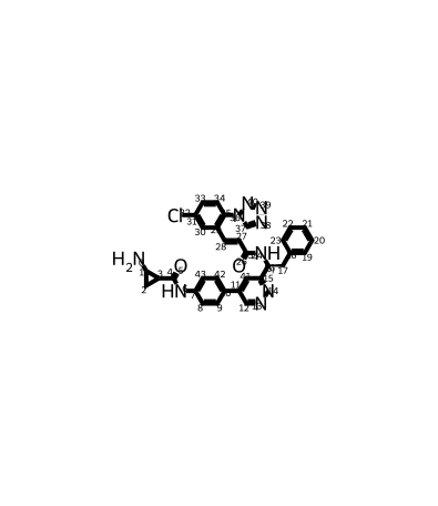 NC1CC1C(=O)Nc1ccc(-c2cnnc([C@H](Cc3ccccc3)NC(=O)C=Cc3cc(Cl)ccc3-n3cnnn3)c2)cc1